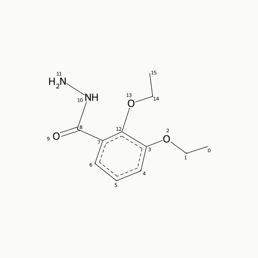 CCOc1cccc(C(=O)NN)c1OCC